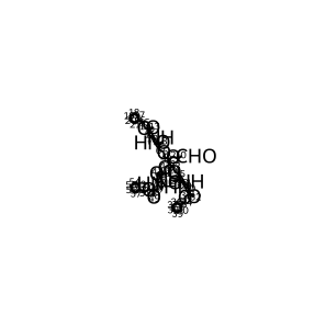 O=CCOC(COCC(=O)NNCC(=O)OCc1ccccc1)C(COCC(=O)NNCC(=O)OCc1ccccc1)OCC(=O)NNCC(=O)OCc1ccccc1